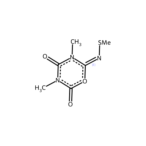 CS/N=c1/oc(=O)n(C)c(=O)n1C